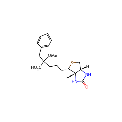 COC(CCC[C@@H]1SC[C@@H]2NC(=O)N[C@@H]21)(Cc1ccccc1)C(=O)O